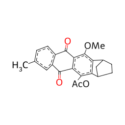 COc1c2c(c(OC(C)=O)c3c1C1CCC3C1)C(=O)c1cc(C)ccc1C2=O